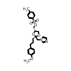 COc1ccc(CCC[C@]2(Cn3ccnc3)OC[C@@H](COS(=O)(=O)c3ccc(C)cc3)O2)cc1